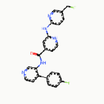 O=C(Nc1cnccc1-c1ccc(F)cc1)c1ccnc(Nc2ccc(CF)cn2)c1